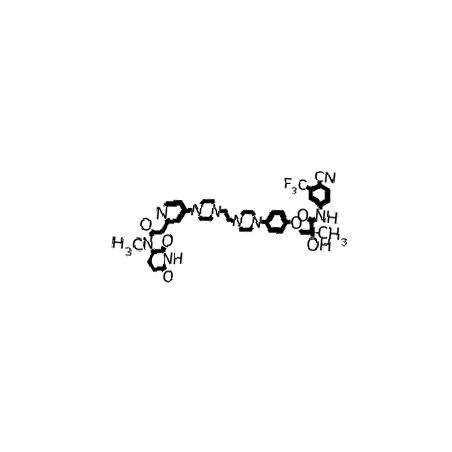 CN(C(=O)Cc1cc(N2CCN(CCN3CCN(c4ccc(OC[C@](C)(O)C(=O)Nc5ccc(C#N)c(C(F)(F)F)c5)cc4)CC3)CC2)ccn1)C1CCC(=O)NC1=O